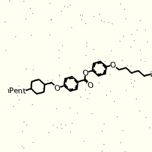 CCCCCC1CCC(COc2ccc(C(=O)Oc3ccc(OCCCCCC(C)CC)cc3)cc2)CC1